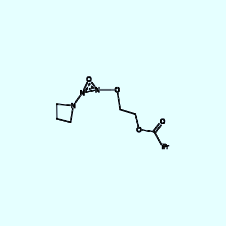 CC(C)C(=O)OCCOn1on1N1CCC1